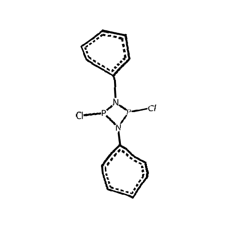 ClP1N(c2ccccc2)P(Cl)N1c1ccccc1